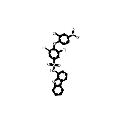 O=[N+]([O-])c1ccc(Oc2c(Cl)cc(S(=O)(=O)Nc3cccc4c3oc3ccccc34)cc2Cl)c(Cl)c1